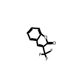 O=c1oc2c[c]ccc2cc1C(F)(F)F